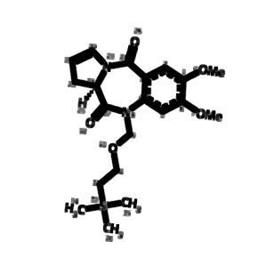 COc1cc2c(cc1OC)N(COCC[Si](C)(C)C)C(=O)[C@H]1CC=CN1C2=O